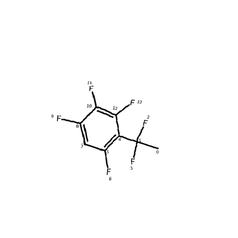 CC(F)(F)c1c(F)[c]c(F)c(F)c1F